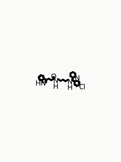 O=C(CCc1c[nH]c2ccccc12)NCCCCCNc1c2c(nc3cc(Cl)ccc13)CCCC2